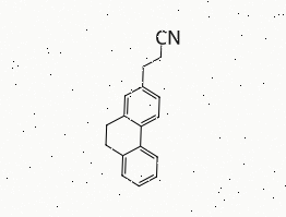 N#CCCc1ccc2c(c1)CCc1ccccc1-2